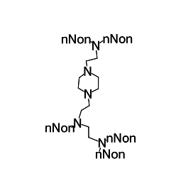 CCCCCCCCCN(CCCCCCCCC)CCN(CCCCCCCCC)CCN1CCN(CCN(CCCCCCCCC)CCCCCCCCC)CC1